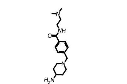 CN(C)CCNC(=O)c1ccc(CN2CCC(N)CC2)cc1